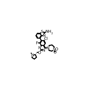 CN1CCC[C@H]1COc1nc(N2CCCS(=O)(=O)CC2)c2cc(Cl)c(-c3cccc4sc(N)nc34)c(F)c2n1